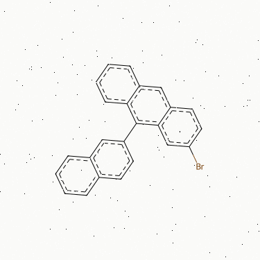 Brc1ccc2cc3ccccc3c(-c3ccc4ccccc4c3)c2c1